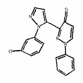 O=c1ccn(-c2ccccc2)nc1-c1ccnn1-c1cccc(Cl)c1